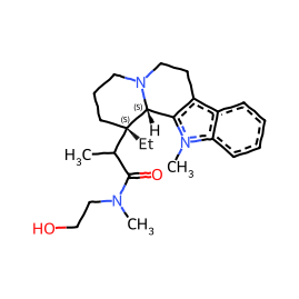 CC[C@@]1(C(C)C(=O)N(C)CCO)CCCN2CCc3c(n(C)c4ccccc34)[C@@H]21